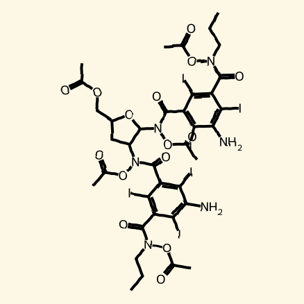 CCCN(OC(C)=O)C(=O)c1c(I)c(N)c(I)c(C(=O)N(OC(C)=O)C2CC(COC(C)=O)OC2N(OC(C)=O)C(=O)c2c(I)c(N)c(I)c(C(=O)N(CCC)OC(C)=O)c2I)c1I